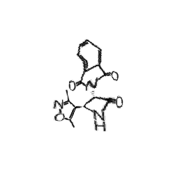 Cc1noc(C)c1[C@@H]1NC(=O)[C@H]1N1C(=O)c2ccccc2C1=O